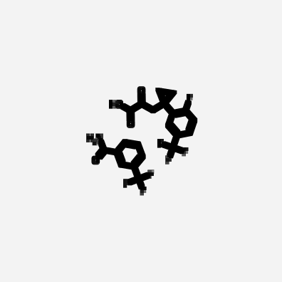 NC(=O)c1cccc(C(F)(F)F)c1.O=C(O)C(=O)CC1(c2cc(C(F)(F)F)ccc2F)CC1